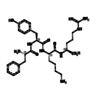 N=C(N)NCCC[C@H](NC(=O)[C@H](CCCCN)NC(=O)[C@H](Cc1ccc(O)cc1)NC(=O)[C@@H](N)Cc1ccccc1)C(=O)O